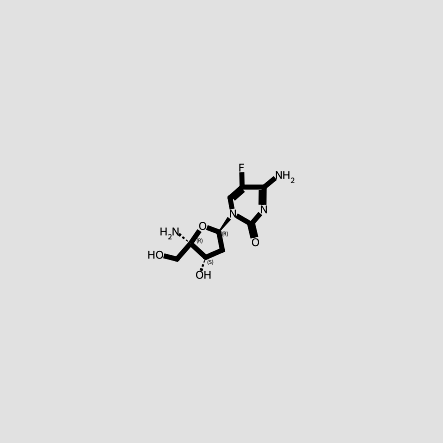 Nc1nc(=O)n([C@H]2C[C@H](O)[C@@](N)(CO)O2)cc1F